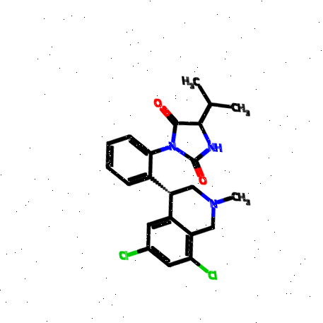 CC(C)C1NC(=O)N(c2ccccc2[C@@H]2CN(C)Cc3c(Cl)cc(Cl)cc32)C1=O